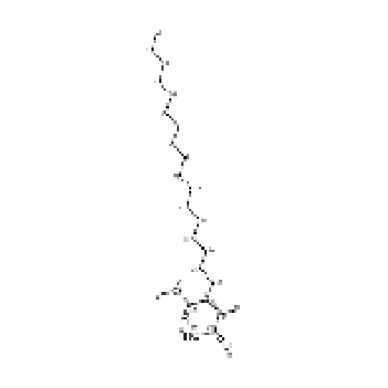 CCCCCCCCCCCCCCCCC/C(C(=O)OC)=C(\C)C(=O)O